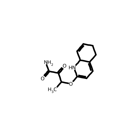 CC(OC1=CC=C2CCC=CC2N1)C(=O)C(N)=O